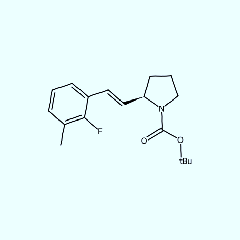 Cc1cccc(/C=C/[C@H]2CCCN2C(=O)OC(C)(C)C)c1F